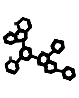 C1=CCNC(c2cc(-c3nc(-c4ccccc4)c4cc(-c5ccccc5)ccc4n3)cc(-c3cc4c(c5ncccc35)NCC=C4)c2)=C1